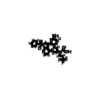 Nc1nccc(-c2cn(S(=O)(=O)c3ccccc3)c3nccc(N4CCC(N(CCC(F)(F)F)C(=O)O)C4)c23)n1